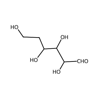 O=CC(O)C(O)C(O)CCO